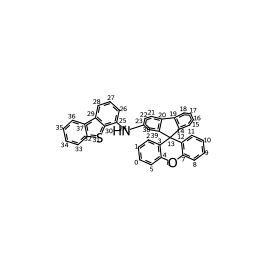 c1ccc2c(c1)Oc1ccccc1C21c2ccccc2-c2ccc(Nc3cccc4c3sc3ccccc34)cc21